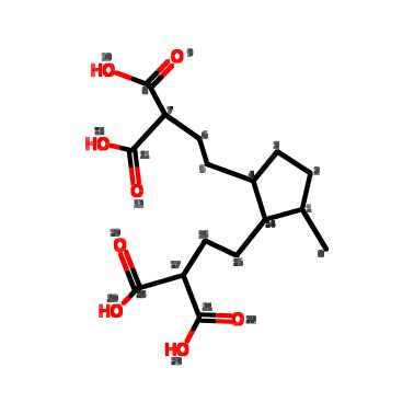 CC1CCC(CCC(C(=O)O)C(=O)O)C1CCC(C(=O)O)C(=O)O